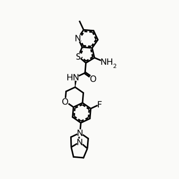 Cc1ccc2c(N)c(C(=O)N[C@@H]3COc4cc(N5CC6CCC(C5)N6C)cc(F)c4C3)sc2n1